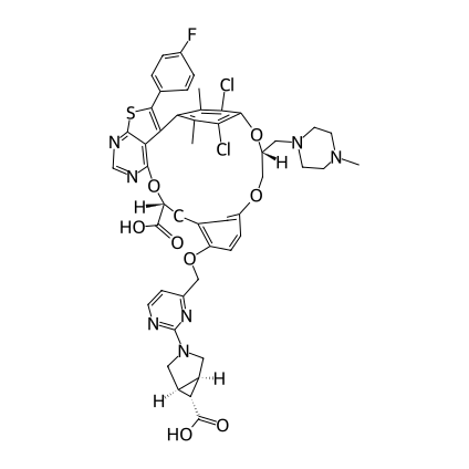 Cc1c(Cl)c2c(Cl)c(C)c1-c1c(-c3ccc(F)cc3)sc3ncnc(c13)O[C@@H](C(=O)O)Cc1cc(ccc1OCc1ccnc(N3C[C@@H]4[C@H](C3)[C@H]4C(=O)O)n1)OC[C@@H](CN1CCN(C)CC1)O2